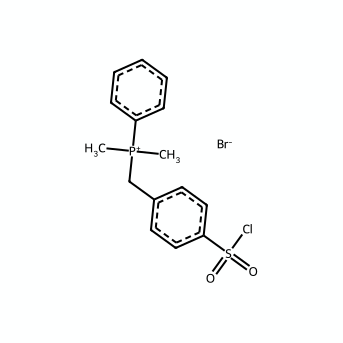 C[P+](C)(Cc1ccc(S(=O)(=O)Cl)cc1)c1ccccc1.[Br-]